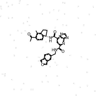 CC(=O)c1ccc2c(c1C)CC[C@@H]2NC(=O)c1cc(C(=O)NCc2ccc3cocc3c2)nc2ncnn12